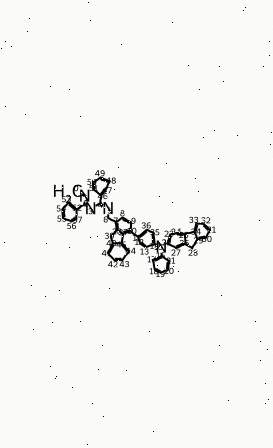 C=N/C(=N\C(=N/Cc1ccc(-c2ccc(N(c3ccccc3)c3ccc4c(c3)Cc3ccccc3-4)cc2)c2c1Cc1ccccc1-2)c1ccccc1)c1ccccc1